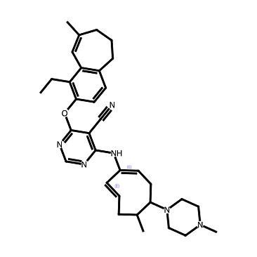 CCc1c(Oc2ncnc(NC3=C/CC(N4CCN(C)CC4)C(C)C\C=C\3)c2C#N)ccc2c1C=C(C)CCC2